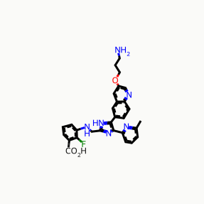 Cc1cccc(-c2nc(CNc3cccc(C(=O)O)c3F)[nH]c2-c2ccc3ncc(OCCCN)cc3c2)n1